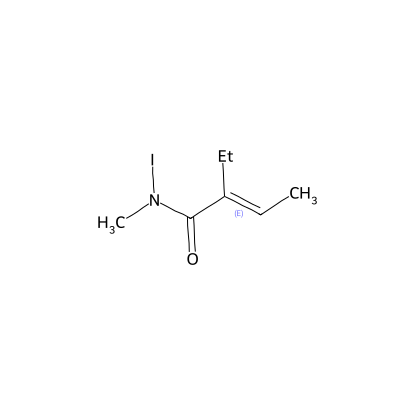 C/C=C(\CC)C(=O)N(C)I